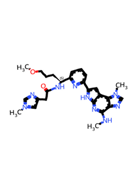 CNc1nc2[nH]c(-c3cccc([C@H](CCCOC)NC(=O)Cc4cn(C)cn4)n3)cc2c2c1ncn2C